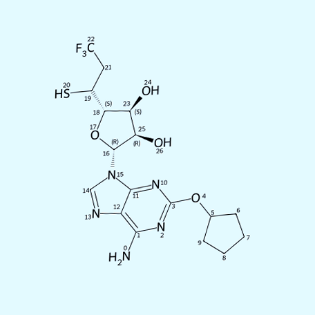 Nc1nc(OC2CCCC2)nc2c1ncn2[C@@H]1O[C@H](C(S)CC(F)(F)F)[C@@H](O)[C@H]1O